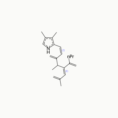 C=C(C)/C=C(/C(=C)CCC)C(C)C(=C)/C=C\c1[nH]cc(C)c1C